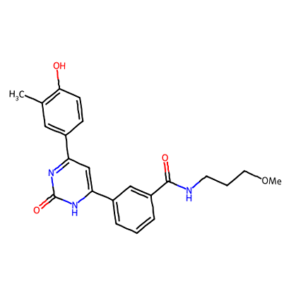 COCCCNC(=O)c1cccc(-c2cc(-c3ccc(O)c(C)c3)nc(=O)[nH]2)c1